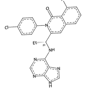 CC[C@@H](Nc1ncnc2[nH]cnc12)c1cc2cccc(F)c2c(=O)n1-c1ccc(Cl)cc1